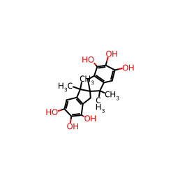 CC1(C)c2cc(O)c(O)c(O)c2CC12Cc1c(cc(O)c(O)c1O)C2(C)C